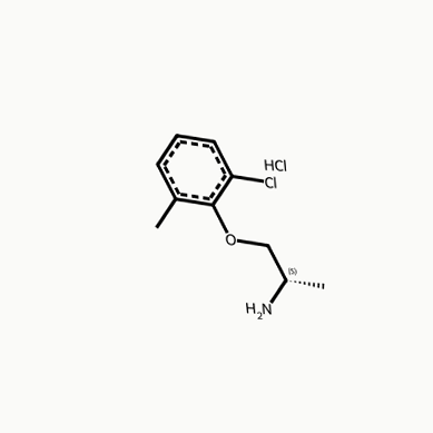 Cc1cccc(Cl)c1OC[C@H](C)N.Cl